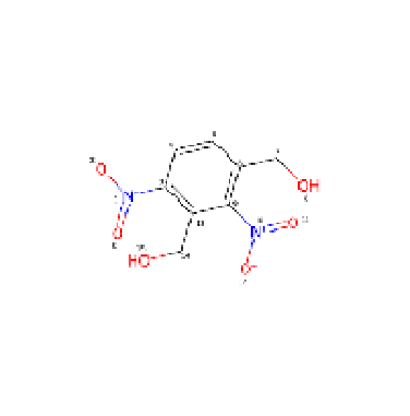 O=[N+]([O-])c1ccc(CO)c([N+](=O)[O-])c1CO